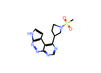 CS(=O)(=O)N1CCC(c2ncnc3nnc4[nH]ccc4c23)C1